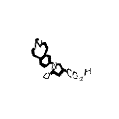 CN1CCc2ccc(N3CC(C(=O)O)CC3=O)cc2CC1